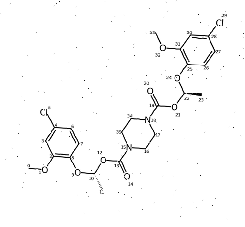 COc1cc(Cl)ccc1O[C@@H](C)OC(=O)N1CCN(C(=O)O[C@H](C)Oc2ccc(Cl)cc2OC)CC1